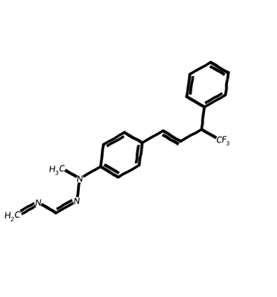 C=N/C=N\N(C)c1ccc(/C=C/C(c2ccccc2)C(F)(F)F)cc1